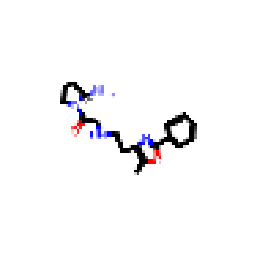 Cc1oc(-c2ccccc2)nc1CCNCC(=O)N1CCC[C@H]1N